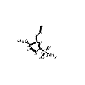 C=CCc1cc(S(N)(=O)=O)ccc1OC